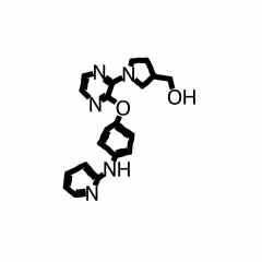 OCC1CCN(c2nccnc2Oc2ccc(Nc3ccccn3)cc2)C1